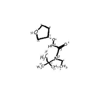 CCN(C(=O)NO[C@H]1CCOC1)C(C)(C)C